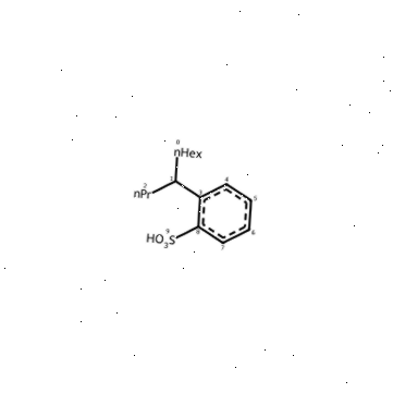 CCCCCCC(CCC)c1ccccc1S(=O)(=O)O